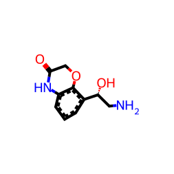 NC[C@@H](O)c1cccc2c1OCC(=O)N2